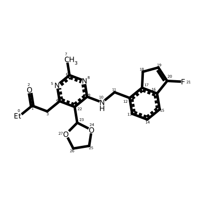 CCC(=O)Cc1nc(C)nc(NCc2cccc3c2CC=C3F)c1C1OCCO1